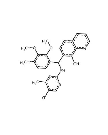 COc1c(C)ccc(C(Nc2cc(C)c(Cl)cn2)c2ccc3cccnc3c2O)c1OC